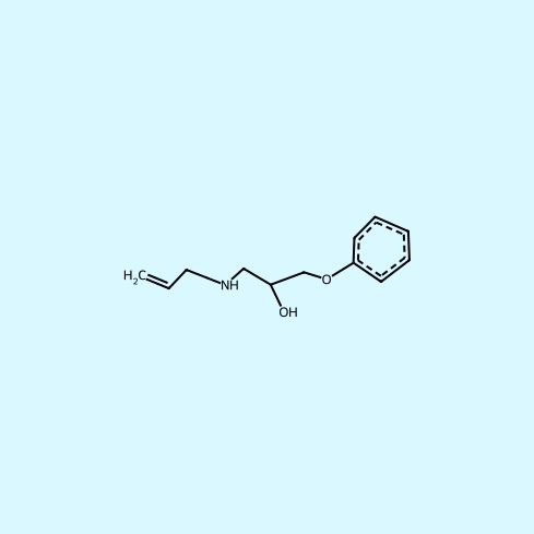 C=CCNCC(O)COc1ccccc1